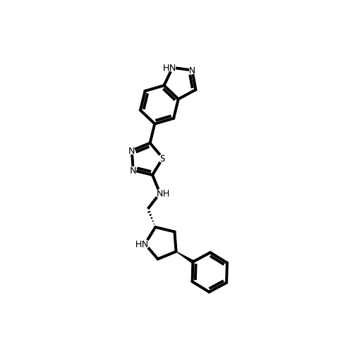 c1ccc([C@H]2CN[C@H](CNc3nnc(-c4ccc5[nH]ncc5c4)s3)C2)cc1